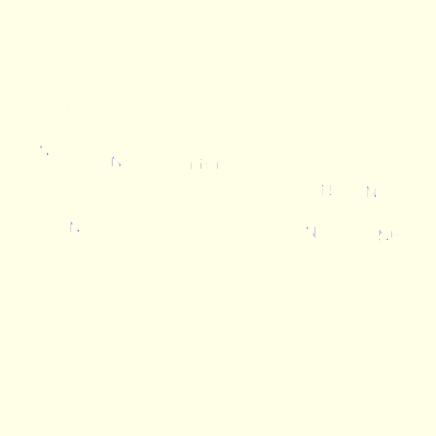 CCCCC1=C(c2ccc(-c3ccccc3-c3nnn[nH]3)cc2)C(=O)N(C)C2=NC(=O)C(C3CC3)N21